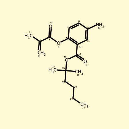 C=C(C)C(=O)Oc1ccc(N)cc1C(=O)OC(C)(C)CCCC